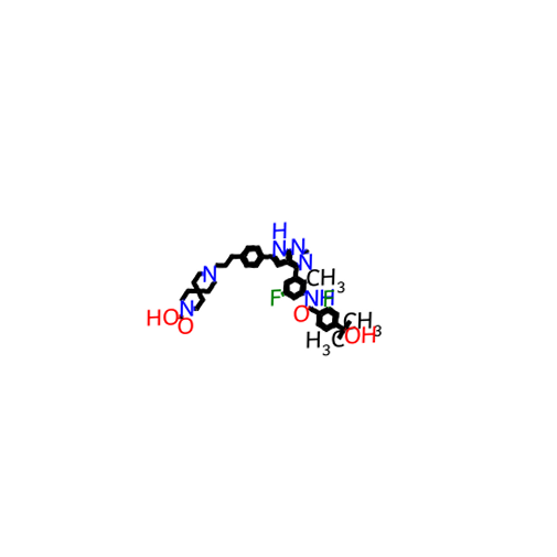 Cc1c(NC(=O)c2ccc(C(C)(C)O)cc2F)cc(F)cc1-c1ncnc2[nH]c(-c3ccc(CCCN4CCC5(CC4)CCN(C(=O)O)CC5)cc3)cc12